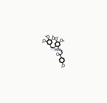 COc1ccc(C(=O)/C=C\Nc2cc(OC)c(OC)cc2/C=C\c2cc(OC)c(OC)c(OC)c2)cc1